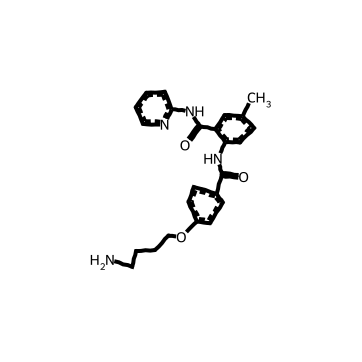 Cc1ccc(NC(=O)c2ccc(OCCCCN)cc2)c(C(=O)Nc2ccccn2)c1